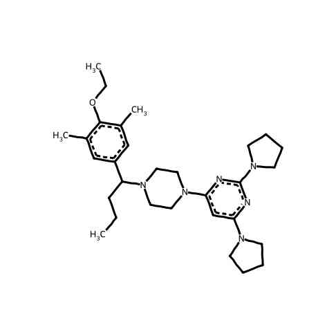 CCCC(c1cc(C)c(OCC)c(C)c1)N1CCN(c2cc(N3CCCC3)nc(N3CCCC3)n2)CC1